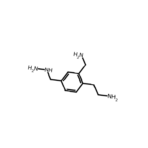 NCCc1ccc(CNN)cc1CN